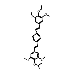 CCOc1c(OC)cc(/C=C/c2ccc(/C=C/c3cc(OC)c(OC(C)C)c(OC)c3)cc2)cc1OC